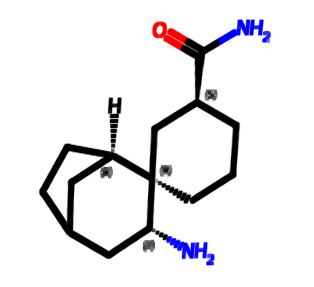 NC(=O)[C@H]1CCC[C@@]2(C1)[C@@H]1CCC(C1)C[C@H]2N